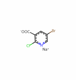 O=C([O-])c1cc(Br)cnc1Cl.[Na+]